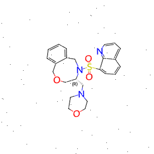 O=S(=O)(c1cccc2cccnc12)N1Cc2ccccc2COC[C@H]1CN1CCOCC1